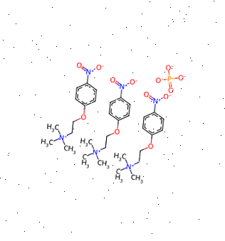 C[N+](C)(C)CCOc1ccc([N+](=O)[O-])cc1.C[N+](C)(C)CCOc1ccc([N+](=O)[O-])cc1.C[N+](C)(C)CCOc1ccc([N+](=O)[O-])cc1.O=P([O-])([O-])[O-]